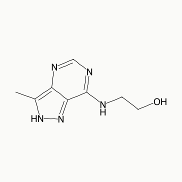 Cc1[nH]nc2c(NCCO)ncnc12